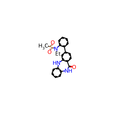 CCN(c1ccccc1-c1ccc2c(c1)Nc1ccccc1NC2=O)S(C)(=O)=O